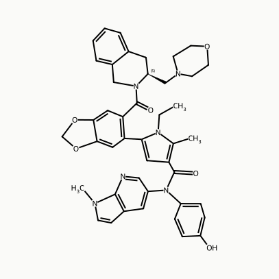 CCn1c(-c2cc3c(cc2C(=O)N2Cc4ccccc4C[C@H]2CN2CCOCC2)OCO3)cc(C(=O)N(c2ccc(O)cc2)c2cnc3c(ccn3C)c2)c1C